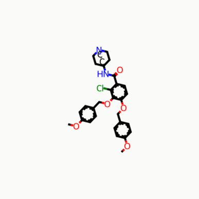 COc1ccc(COc2ccc(C(=O)NC34CCN(CC3)CC4)c(Cl)c2OCc2ccc(OC)cc2)cc1